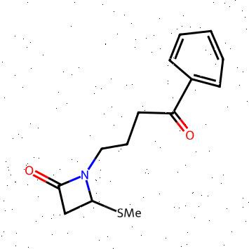 CSC1CC(=O)N1CCCC(=O)c1ccccc1